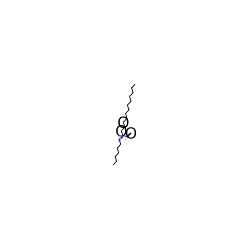 CCCCCC/C=C(\C=O)OCOCCCCCCCCC